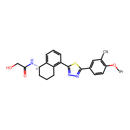 CC(C)Oc1ccc(-c2nnc(-c3cccc4c3CCC[C@@H]4NC(=O)CO)s2)cc1C#N